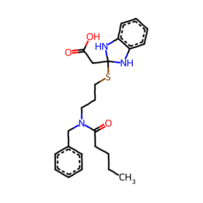 CCCCC(=O)N(CCCSC1(CC(=O)O)Nc2ccccc2N1)Cc1ccccc1